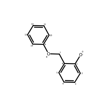 [O]c1ccccc1COc1ccccc1